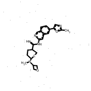 Cc1ncc(-c2ccc3cnc(NC(=N)C4CCC(N(C)C5COC5)CC4)cc3c2)o1